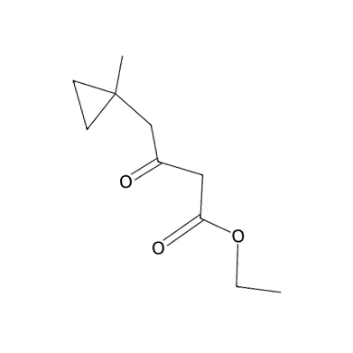 CCOC(=O)CC(=O)CC1(C)CC1